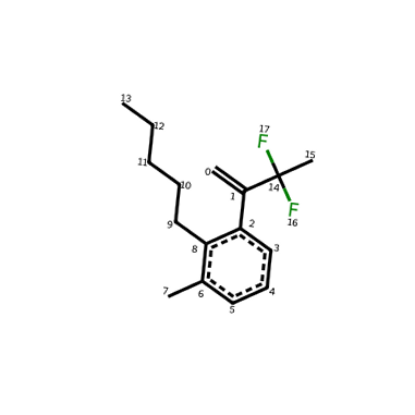 C=C(c1cccc(C)c1CCCCC)C(C)(F)F